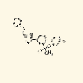 CS(=O)(=O)c1cc(-c2ccn(CCc3ccccc3)n2)ccc1-c1ccc(F)cc1